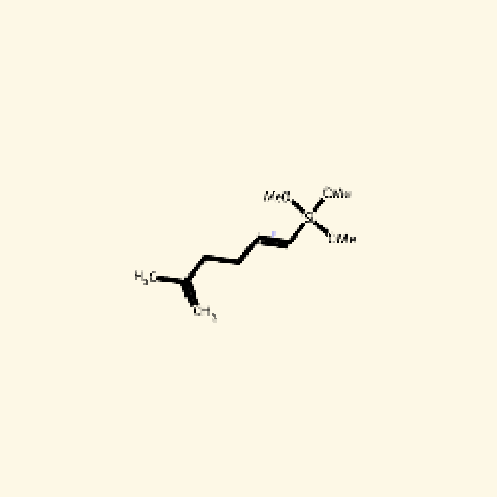 C=C(C)CC/C=C/[Si](OC)(OC)OC